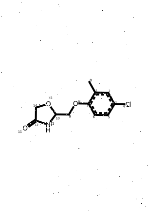 Cc1cc(Cl)ccc1OCC1NC(=O)CO1